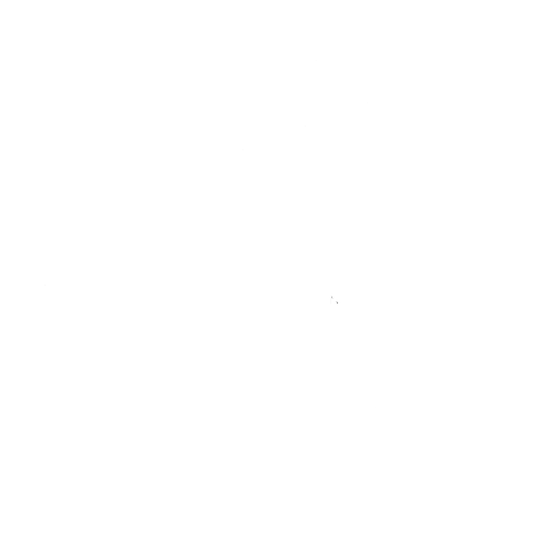 c1ccc(-c2ccc3cc(N(c4ccc(-c5cccc6ccccc56)cc4)c4cccc(-c5cc6ccccc6c6ccccc56)c4)ccc3c2)cc1